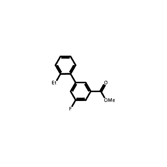 CCc1ccccc1-c1cc(F)cc(C(=O)OC)c1